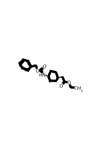 CCOC(=O)C[C@H]1CC[C@H](NC(=O)OCc2ccccc2)CC1